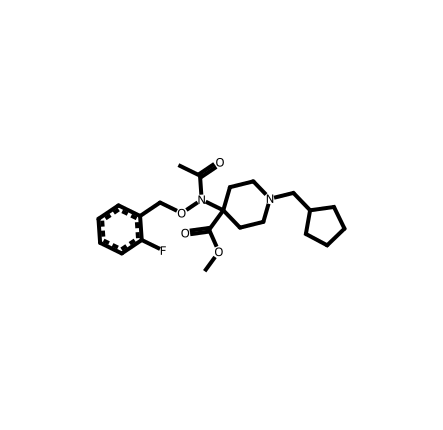 COC(=O)C1(N(OCc2ccccc2F)C(C)=O)CCN(CC2CCCC2)CC1